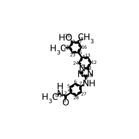 CNC(=O)c1ccc(Nc2nc3ccc(-c4cc(C)c(O)c(C)c4)cn3n2)cc1